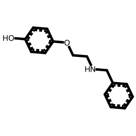 Oc1ccc(OCCNCc2ccccc2)cc1